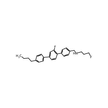 CCCCc1ccc(-c2ccc(-c3ccc(CNCCCF)cc3)c(F)c2)cc1